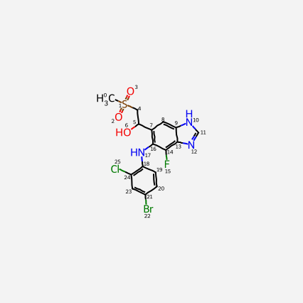 CS(=O)(=O)CC(O)c1cc2[nH]cnc2c(F)c1Nc1ccc(Br)cc1Cl